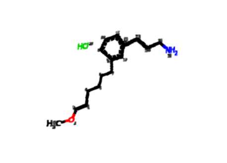 COCCCCCCc1cccc(CCCN)c1.Cl